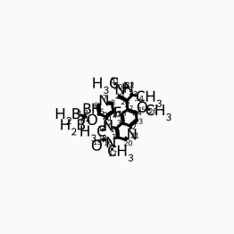 BC(B)(B)Oc1cncc(F)c1N(C)c1c(N(C)C=O)cnc2cc(OC)c(-c3cn(C)nc3C)cc12